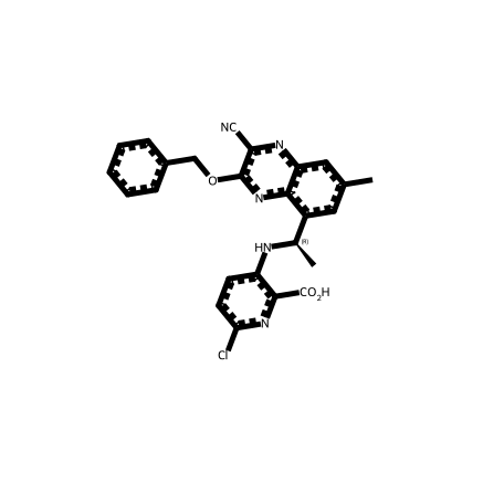 Cc1cc([C@@H](C)Nc2ccc(Cl)nc2C(=O)O)c2nc(OCc3ccccc3)c(C#N)nc2c1